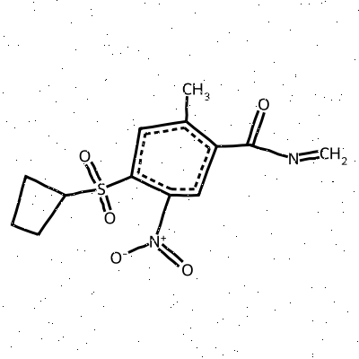 C=NC(=O)c1cc([N+](=O)[O-])c(S(=O)(=O)C2CCC2)cc1C